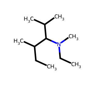 CCC(C)C(C(C)C)N(C)CC